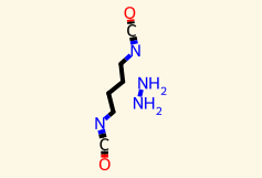 NN.O=C=NCCCCN=C=O